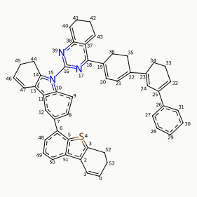 C1=Cc2c(sc3c(-c4ccc5c(c4)c4c(n5-c5nc(C6=CC=C(C7=CC(c8ccccc8)=CCC7)CC6)c6c(n5)=CCCC=6)CCC=C4)cccc23)CC1